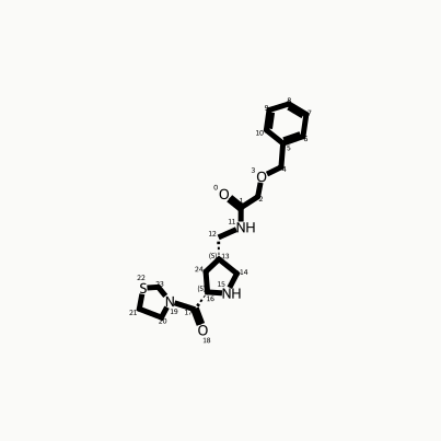 O=C(COCc1ccccc1)NC[C@@H]1CN[C@H](C(=O)N2CCSC2)C1